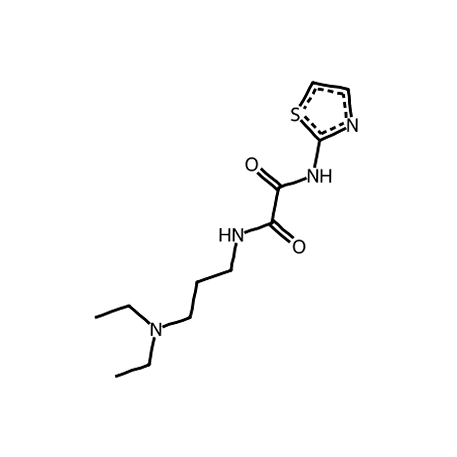 CCN(CC)CCCNC(=O)C(=O)Nc1nccs1